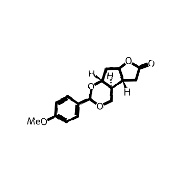 COc1ccc(C2OC[C@H]3[C@@H](CC4OC(=O)C[C@@H]43)O2)cc1